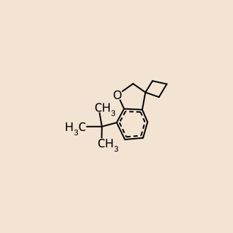 CC(C)(C)c1cccc2c1OCC21CCC1